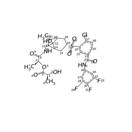 C[C@H](O)C(=O)O[C@@H](C)C(=O)NC[C@@]1(O)C2C[C@@H](S(=O)(=O)c3cc(C(=O)Nc4cc(F)c(F)c(F)c4)ccc3Cl)CC1[C@@H](C)C2